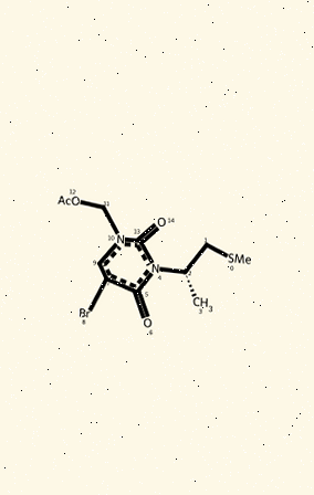 CSC[C@H](C)n1c(=O)c(Br)cn(COC(C)=O)c1=O